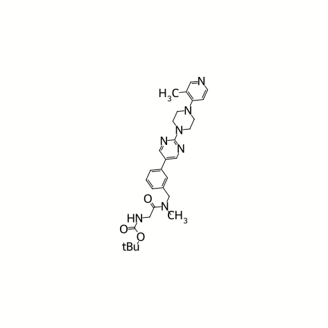 Cc1cnccc1N1CCN(c2ncc(-c3cccc(CN(C)C(=O)CNC(=O)OC(C)(C)C)c3)cn2)CC1